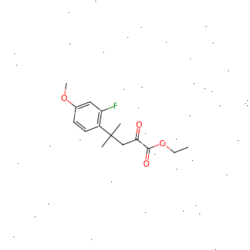 CCOC(=O)C(=O)CC(C)(C)c1ccc(OC)cc1F